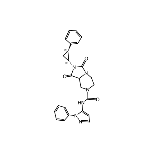 O=C(Nc1ccnn1-c1ccccc1)N1CCN2C(=O)N([C@@H]3C[C@H]3c3ccccc3)C(=O)C2C1